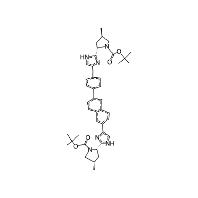 C[C@@H]1C[C@@H](c2nc(-c3ccc(-c4ccc5cc(-c6c[nH]c([C@@H]7C[C@@H](C)CN7C(=O)OC(C)(C)C)n6)ccc5c4)cc3)c[nH]2)N(C(=O)OC(C)(C)C)C1